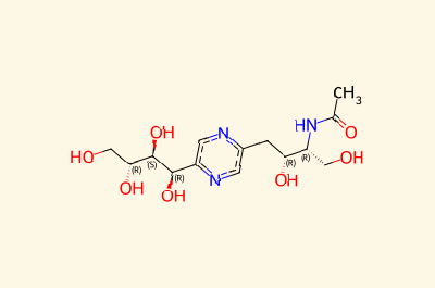 CC(=O)N[C@H](CO)[C@H](O)Cc1cnc([C@@H](O)[C@H](O)[C@H](O)CO)cn1